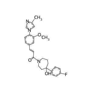 COc1cc(C=CC(=O)N2CCCC(O)(c3ccc(F)cc3)CC2)ccc1-n1cnc(C)c1